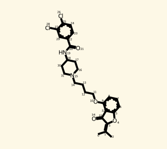 CC(C)=C1Oc2cccc(OCCCCN3CCC(NC(=O)c4ccc(Cl)c(Cl)c4)CC3)c2C1=O